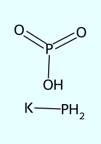 O=P(=O)O.[PH2][K]